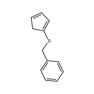 C1=CC[C]([Ti][CH2]c2ccccc2)=C1